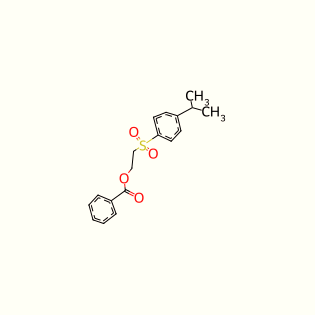 CC(C)c1ccc(S(=O)(=O)CCOC(=O)c2ccccc2)cc1